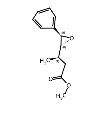 COC(=O)C[C@@H](C)[C@H]1O[C@@H]1c1ccccc1